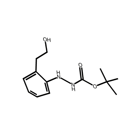 CC(C)(C)OC(=O)NNc1ccccc1CCO